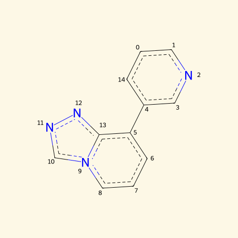 c1cncc(-c2cccn3cnnc23)c1